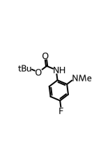 CNc1cc(F)ccc1NC(=O)OC(C)(C)C